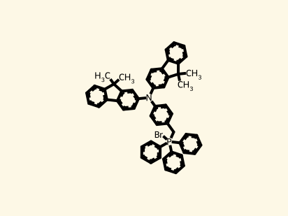 CC1(C)c2ccccc2-c2ccc(N(c3ccc(CP(Br)(c4ccccc4)(c4ccccc4)c4ccccc4)cc3)c3ccc4c(c3)C(C)(C)c3ccccc3-4)cc21